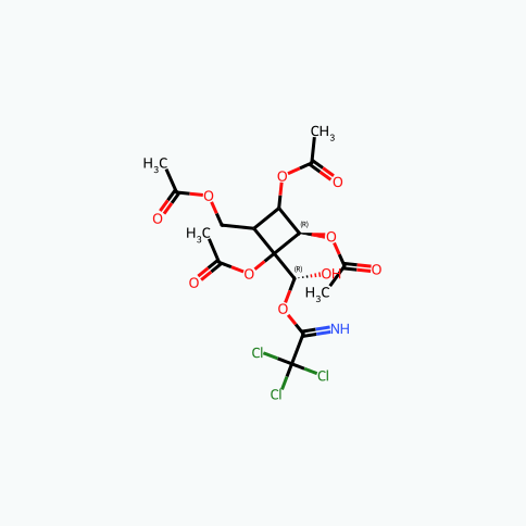 CC(=O)OCC1C(OC(C)=O)[C@@H](OC(C)=O)C1(OC(C)=O)[C@H](O)OC(=N)C(Cl)(Cl)Cl